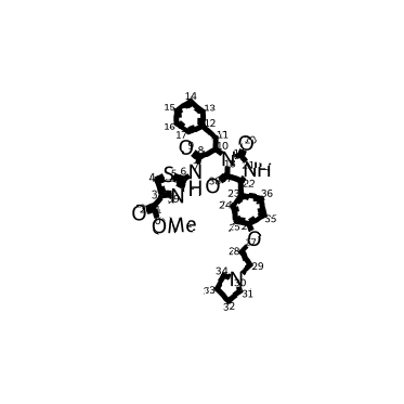 COC(=O)c1csc(NC(=O)C(Cc2ccccc2)N2C(=O)NC(c3ccc(OCCN4CCCC4)cc3)C2=O)n1